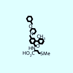 CSCC[C@H](NC(=O)c1ccc(CN2CCCC(OCC3CCCCC3)C2)cc1-c1ccccc1C)C(=O)O